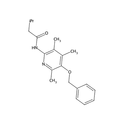 Cc1nc(NC(=O)CC(C)C)c(C)c(C)c1OCc1ccccc1